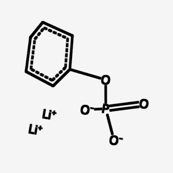 O=P([O-])([O-])Oc1ccccc1.[Li+].[Li+]